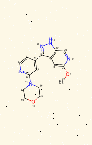 CCOc1cc2c(-c3ccnc(N4CCOCC4)c3)n[nH]c2cn1